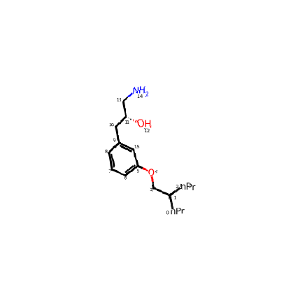 CCCC(CCC)COc1cccc(C[C@@H](O)CN)c1